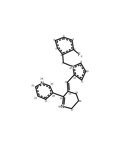 Fc1ccccc1Cn1cccc1C=C1CCCN=C1c1cccnc1